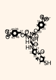 CN1C[C@@H](S)C[C@H]1C(=O)N1CC[C@H](NC(=O)CN/C(=N\C(=O)OCc2ccc([N+](=O)[O-])cc2)NC(=O)OCc2ccc([N+](=O)[O-])cc2)C1